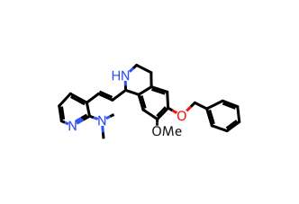 COc1cc2c(cc1OCc1ccccc1)CCNC2/C=C/c1cccnc1N(C)C